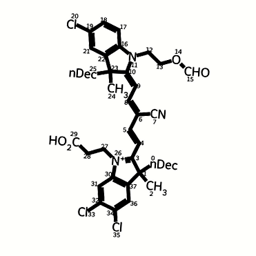 CCCCCCCCCCC1(C)C(/C=C/C(C#N)=C/C=C2/N(CCOC=O)c3ccc(Cl)cc3C2(C)CCCCCCCCCC)=[N+](CCC(=O)O)c2cc(Cl)c(Cl)cc21